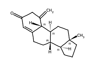 C=C1CC(=O)C=C2CC[C@@H]3[C@H](CC[C@]4(C)CCC[C@@H]34)[C@@H]12